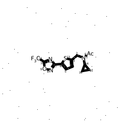 CC(=O)N(Cc1ccc(-c2noc(C(F)(F)F)n2)s1)C1CC1